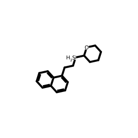 c1ccc2c(CC[SiH2]C3CCCCO3)cccc2c1